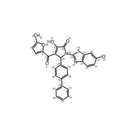 Cc1ccc(C(=O)C2=C(O)C(=O)N(c3nc4ccc(Cl)cc4s3)C2c2ccc(-c3ccccc3)cc2)o1